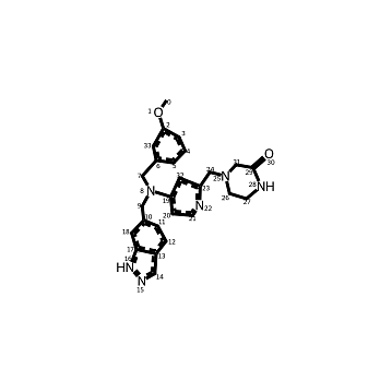 COc1cccc(CN(Cc2ccc3cn[nH]c3c2)c2ccnc(CN3CCNC(=O)C3)c2)c1